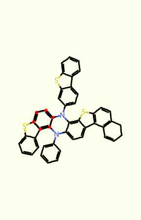 C1=Cc2c(ccc3sc4c(N(c5ccccc5)c5ccc6c(c5)sc5ccccc56)c(N(c5ccccc5)c5cccc6sc7ccccc7c56)ccc4c23)CC1